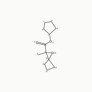 CC1(C(=O)OC2CCCC2)OC12CCC2